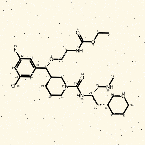 CCOC(=O)NCCO[C@@H](c1cc(F)cc(Cl)c1)[C@@H]1CCCN(C(=O)N[C@H](CNC)C[C@H]2CCCOC2)C1